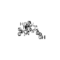 Nc1c([N+](=O)[O-])cnn1-c1cc(SOOO)ccc1S(=O)(=O)O